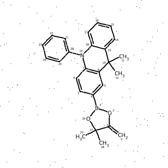 C=C1OB(c2ccc3c(c2)C(C)(C)c2ccccc2N3c2ccccc2)OC1(C)C